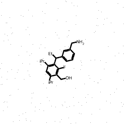 [CH2]CC(c1cccc(CN)c1)c1c(C(C)C)cc(C(C)C)c(CO)c1F